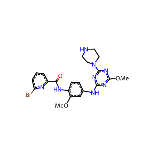 COc1nc(Nc2ccc(NC(=O)c3cccc(Br)n3)c(OC)c2)nc(N2CCNCC2)n1